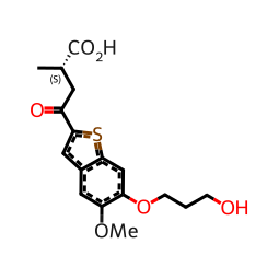 COc1cc2cc(C(=O)C[C@H](C)C(=O)O)sc2cc1OCCCO